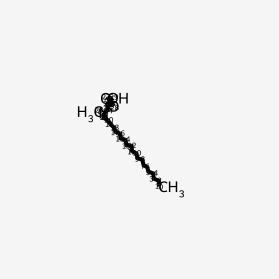 CCCCCCCCCCCCCCCCCCCCCCN(C)CCS(=O)(=O)O